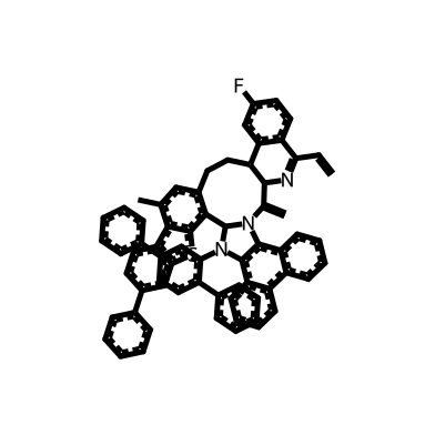 C=CC1=NC2C(=C)N3c4c(c5ccccc5c5ccccc45)N(c4cc(-c5ccccc5)ccc4-c4ccccc4)C3c3c(cc(C)c4c3sc3cc(-c5ccccc5)ccc34)CCC2c2cc(F)ccc21